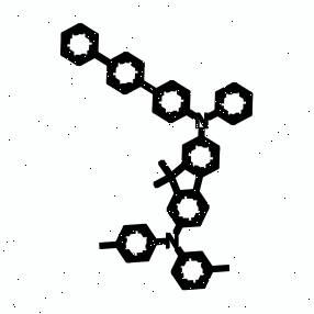 Cc1ccc(N(c2cccc(C)c2)c2ccc3c(c2)C(C)(C)c2cc(N(c4ccccc4)c4ccc(-c5ccc(-c6ccccc6)cc5)cc4)ccc2-3)cc1